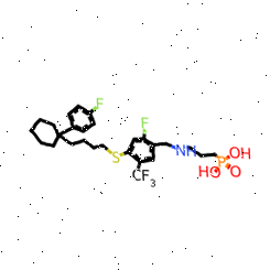 O=P(O)(O)CCCNCc1cc(C(F)(F)F)c(SCCCCC2(c3ccc(F)cc3)CCCCC2)cc1F